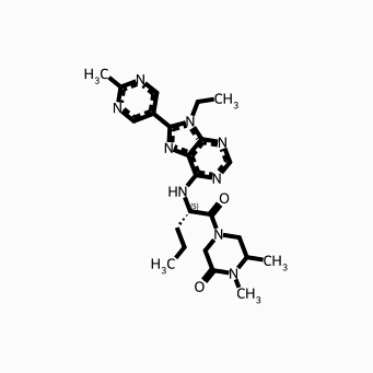 CCC[C@H](Nc1ncnc2c1nc(-c1cnc(C)nc1)n2CC)C(=O)N1CC(=O)N(C)C(C)C1